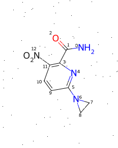 NC(=O)c1nc(N2CC2)ccc1[N+](=O)[O-]